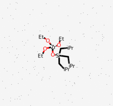 CC[O][Zr]([O]CC)([O]CC)[O][Si](CC(C)C)(CC(C)C)CC(C)C